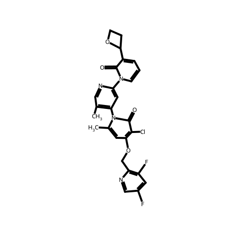 Cc1cnc(-n2cccc(C3CCO3)c2=O)cc1-n1c(C)cc(OCc2ncc(F)cc2F)c(Cl)c1=O